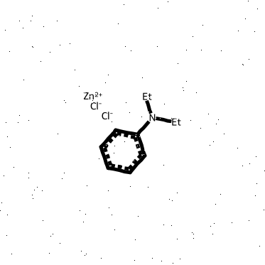 CCN(CC)c1ccccc1.[Cl-].[Cl-].[Zn+2]